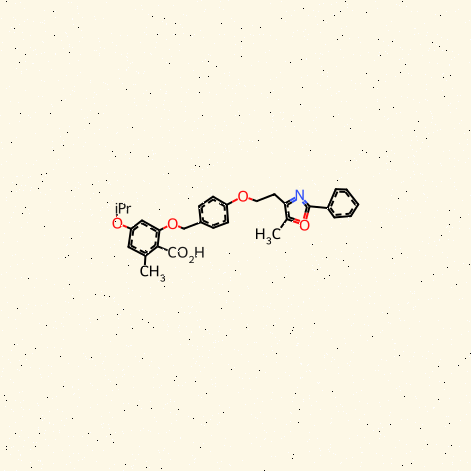 Cc1cc(OC(C)C)cc(OCc2ccc(OCCc3nc(-c4ccccc4)oc3C)cc2)c1C(=O)O